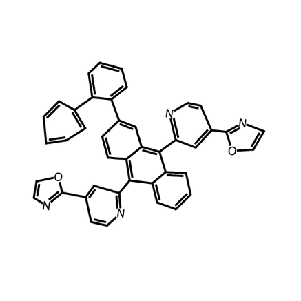 c1ccc(-c2ccccc2-c2ccc3c(-c4cc(-c5ncco5)ccn4)c4ccccc4c(-c4cc(-c5ncco5)ccn4)c3c2)cc1